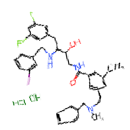 Cc1cc(CN(C)Cc2ccccc2)cc(C(=O)NCC(O)C(Cc2cc(F)cc(F)c2)NCc2cccc(I)c2)c1.Cl.Cl